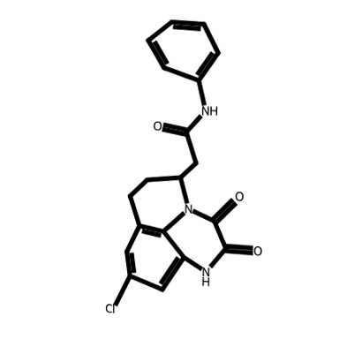 O=C(CC1CCc2cc(Cl)cc3[nH]c(=O)c(=O)n1c23)Nc1ccccc1